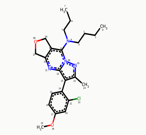 CCCCN(CCC)c1c2c(nc3c(-c4ccc(OC)cc4Cl)c(C)nn13)COC2